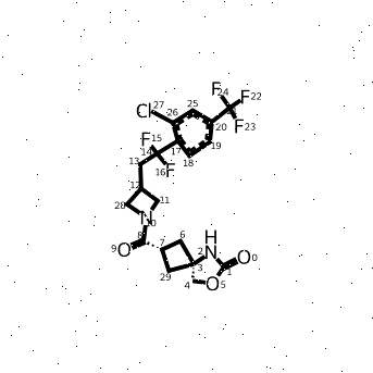 O=C1N[C@]2(CO1)C[C@@H](C(=O)N1CC(CC(F)(F)c3ccc(C(F)(F)F)cc3Cl)C1)C2